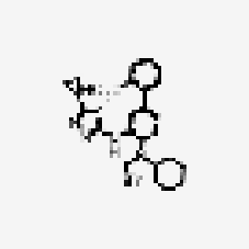 CC(C)CN(c1ccc(-c2ccccc2C(=O)O)cc1Nc1nnc(C2CC2)s1)C1CCCCC1